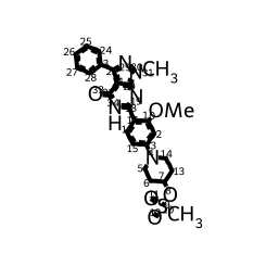 COc1cc(N2CCC(OS(C)(=O)=O)CC2)ccc1-c1nc2c(c(-c3ccccc3)nn2C)c(=O)[nH]1